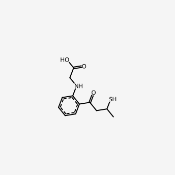 CC(S)CC(=O)c1ccccc1NCC(=O)O